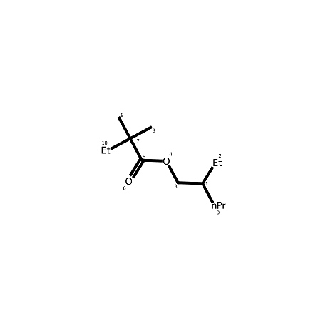 CCCC(CC)COC(=O)C(C)(C)CC